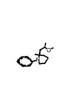 COC(C)CC1(C)CCCCN1c1ccccc1